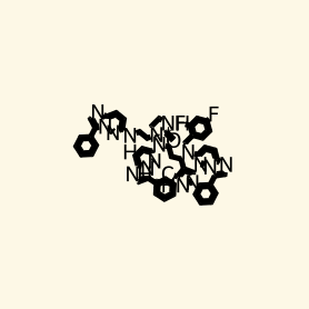 Cc1[nH]ncc1C(CCN(c1ccc2ncc(-c3ccccc3)n2n1)[N+]1(CCNc2ccc3ncc(-c4ccccc4)n3n2)CCNC1=O)N(Cc1ccc(F)cc1F)c1ccc2ncc(-c3ccccc3)n2n1